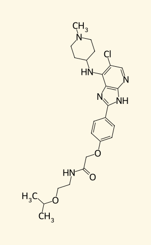 CC(C)OCCNC(=O)COc1ccc(-c2nc3c(NC4CCN(C)CC4)c(Cl)cnc3[nH]2)cc1